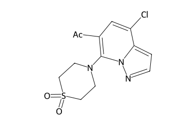 CC(=O)c1cc(Cl)c2ccnn2c1N1CCS(=O)(=O)CC1